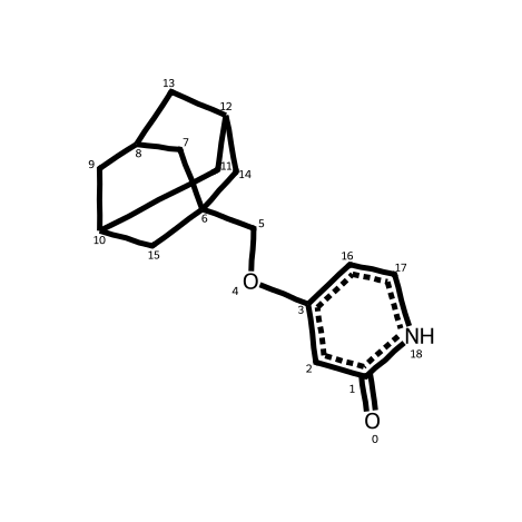 O=c1cc(OCC23CC4CC(CC(C4)C2)C3)cc[nH]1